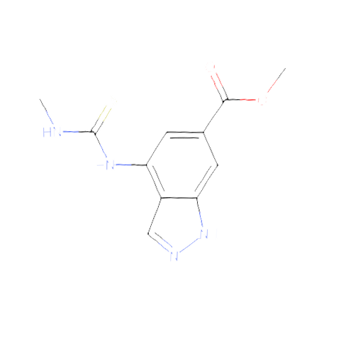 CNC(=S)Nc1cc(C(=O)OC)cc2[nH]ncc12